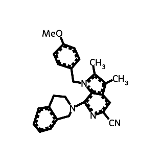 COc1ccc(Cn2c(C)c(C)c3cc(C#N)nc(N4CCc5ccccc5C4)c32)cc1